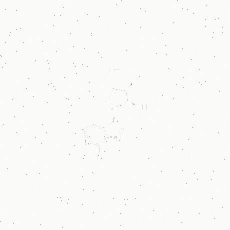 Nc1nccc2c1ncn2[C@@H]1O[C@H](CO)[C@@H](F)[C@H]1O